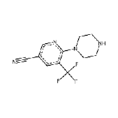 N#Cc1cnc(N2CCNCC2)c(C(F)(F)F)c1